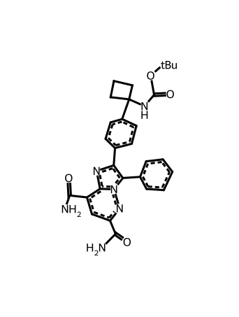 CC(C)(C)OC(=O)NC1(c2ccc(-c3nc4c(C(N)=O)cc(C(N)=O)nn4c3-c3ccccc3)cc2)CCC1